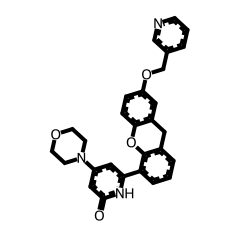 O=c1cc(N2CCOCC2)cc(-c2cccc3c2Oc2ccc(OCc4cccnc4)cc2C3)[nH]1